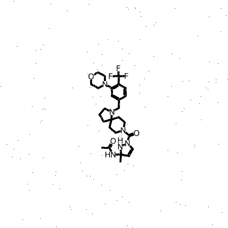 CC(=O)NC1(C)C=CN(C(=O)N2CCC3(CCCN3Cc3ccc(C(F)(F)F)c(N4CCOCC4)c3)CC2)N1